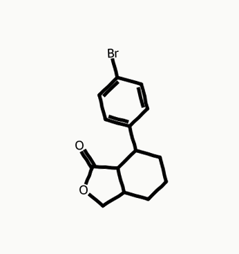 O=C1OCC2CCCC(c3ccc(Br)cc3)C12